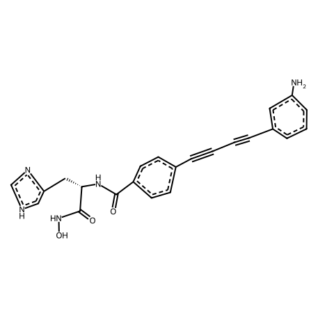 Nc1cccc(C#CC#Cc2ccc(C(=O)N[C@@H](Cc3c[nH]cn3)C(=O)NO)cc2)c1